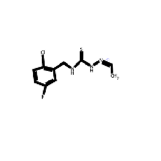 C/C=N\NC(=S)NCc1cc(F)ccc1Cl